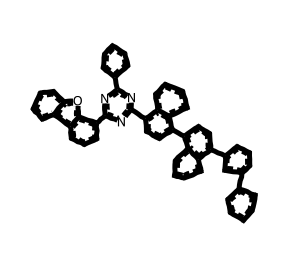 c1ccc(-c2cccc(-c3ccc(-c4ccc(-c5nc(-c6ccccc6)nc(-c6cccc7c6oc6ccccc67)n5)c5ccccc45)c4ccccc34)c2)cc1